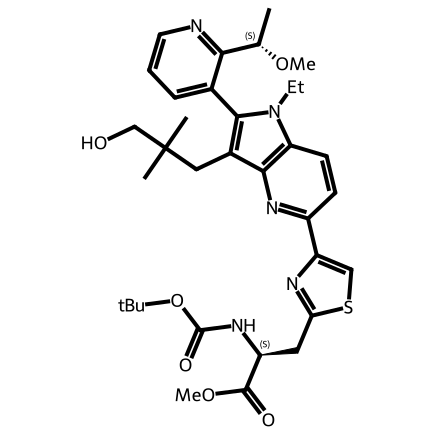 CCn1c(-c2cccnc2[C@H](C)OC)c(CC(C)(C)CO)c2nc(-c3csc(C[C@H](NC(=O)OC(C)(C)C)C(=O)OC)n3)ccc21